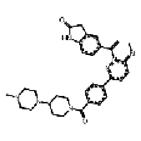 C=C(c1ccc2c(c1)CC(=O)N2)n1nc(-c2ccc(C(=O)N3CCC(N4CCN(C)CC4)CC3)cc2)cc/c1=N/C